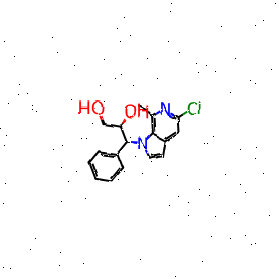 Cc1nc(Cl)cc2ccn([C@@H](c3ccccc3)[C@H](O)CO)c12